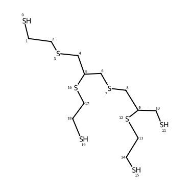 SCCSCC(CSCC(CS)SCCS)SCCS